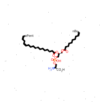 CCCC/C=C\CCCCCCCC(=O)OC[C@H](COP(=O)(O)OC[C@H](N)C(=O)O)OC(=O)CCCCCCCCCCC/C=C\C/C=C\CCCCC